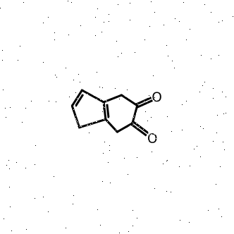 O=C1CC2=C(CC=C2)CC1=O